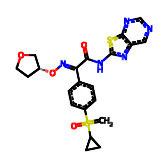 C=S(=O)(c1ccc(/C(=N\O[C@@H]2CCOC2)C(=O)Nc2nc3cncnc3s2)cc1)C1CC1